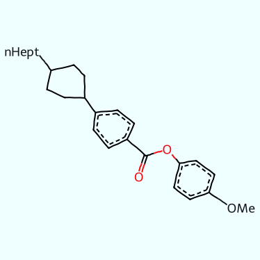 CCCCCCCC1CCC(c2ccc(C(=O)Oc3ccc(OC)cc3)cc2)CC1